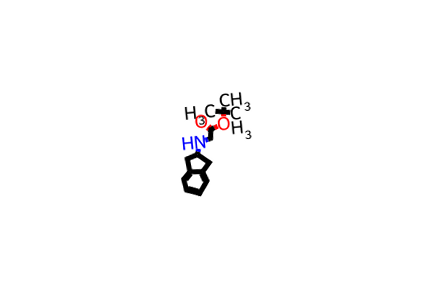 CC(C)(C)OC(=O)CNC1Cc2ccccc2C1